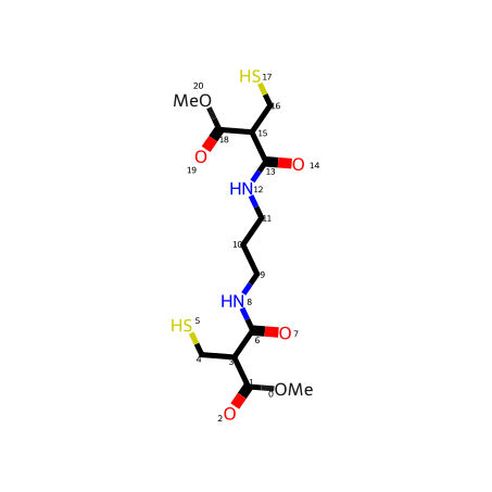 COC(=O)C(CS)C(=O)NCCCNC(=O)C(CS)C(=O)OC